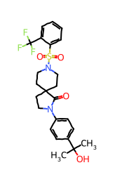 CC(C)(O)c1ccc(N2CCC3(CCN(S(=O)(=O)c4ccccc4C(F)(F)F)CC3)C2=O)cc1